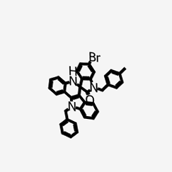 Cc1ccc(CN2C(=O)C3(Nc4ccccc4-c4c3c3ccccc3n4Cc3ccccc3)c3ccc(Br)cc32)cc1